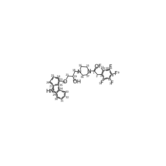 O=C(Cc1c(F)c(F)c(F)c(F)c1F)N1CCN(CC(O)COc2cccc3[nH]c4ccccc4c23)CC1